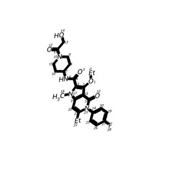 CCOc1c(C(=O)NC2CCN(C(=O)CO)CC2)n(C)c2cc(CC)n(-c3ccc(F)cc3)c(=O)c12